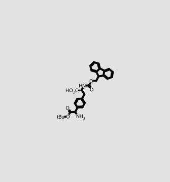 CC(C)(C)OC(=O)C(N)c1ccc(C[C@H](NC(=O)OCC2c3ccccc3-c3ccccc32)C(=O)O)cc1